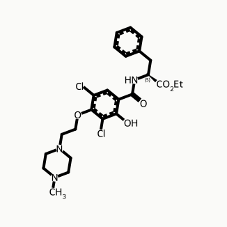 CCOC(=O)[C@H](Cc1ccccc1)NC(=O)c1cc(Cl)c(OCCN2CCN(C)CC2)c(Cl)c1O